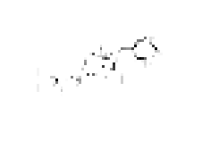 CC(C)(C)OC(=O)N1CC[C@H]2N(Cc3cnc(Cl)nc3)C[C@@]2(C)C1